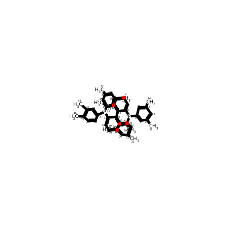 COc1cccc(P(c2cc(C)cc(C)c2)c2cc(C)cc(C)c2)c1-c1c(OC)cccc1P(c1cc(C)cc(C)c1)c1ccc(C)c(C)c1